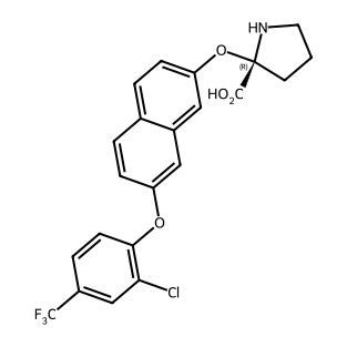 O=C(O)[C@]1(Oc2ccc3ccc(Oc4ccc(C(F)(F)F)cc4Cl)cc3c2)CCCN1